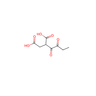 CCC(=O)C(=O)C(CC(=O)O)C(=O)O